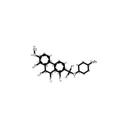 CCCC1CCC(OC(F)(F)c2ccc3c(c2F)C(F)C(F)c2c-3ccc(OCC)c2F)CC1